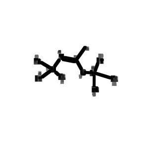 CC[Si](CC)(CC)N=C(C)O[Si](CC)(CC)CC